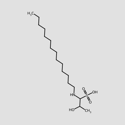 CCCCCCCCCCCCCCNC(C(C)O)S(=O)(=O)O